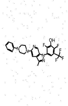 Cc1nn(-c2cc(C(F)(F)F)c(F)c(O)c2F)c2cnc(N3CCN(c4ccccc4)CC3)cc12